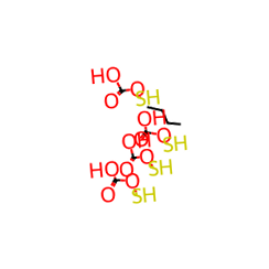 CCCC.O=C(O)OS.O=C(O)OS.O=C(O)OS.O=C(O)OS